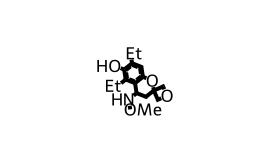 CCc1cc2c(c(CC)c1O)C(NOC)CC1(COC1)O2